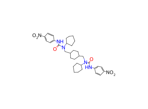 O=C(Nc1ccc([N+](=O)[O-])cc1)N(CC1CCC(CN(C(=O)Nc2ccc([N+](=O)[O-])cc2)C2CCCCC2)CC1)C1CCCCC1